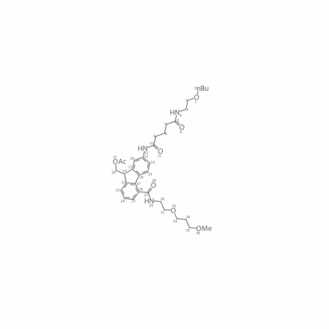 CCCCOCCNC(=O)CCCC(=O)Nc1ccc2c(c1)C(COC(C)=O)c1cccc(C(=O)NCCOCCCOC)c1-2